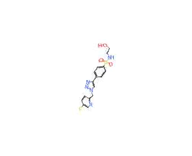 O=S(=O)(NCCO)c1ccc(-c2cn(Cc3ccc(F)cn3)nn2)cc1